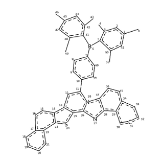 Cc1cc(C)c(B(c2ccc(-c3cc4c5ccc6ccccc6c5sc4c4nc5c6ccccc6ccc5n34)cc2)c2c(C)cc(C)cc2C)c(C)c1